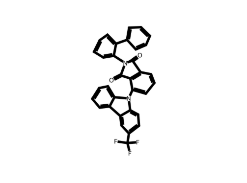 O=C1c2cccc(-n3c4ccccc4c4cc(C(F)(F)F)ccc43)c2C(=O)N1c1ccccc1-c1ccccc1